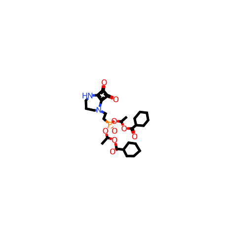 CC(OC(=O)C1CCCCC1)OP(=O)(CCN1CCCNc2c1c(=O)c2=O)OC(C)OC(=O)C1CCCCC1